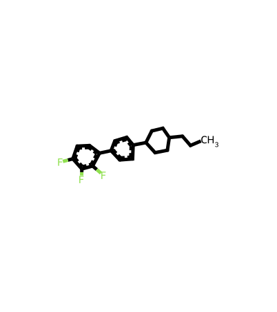 CCCC1CCC(c2ccc(-c3ccc(F)c(F)c3F)cc2)CC1